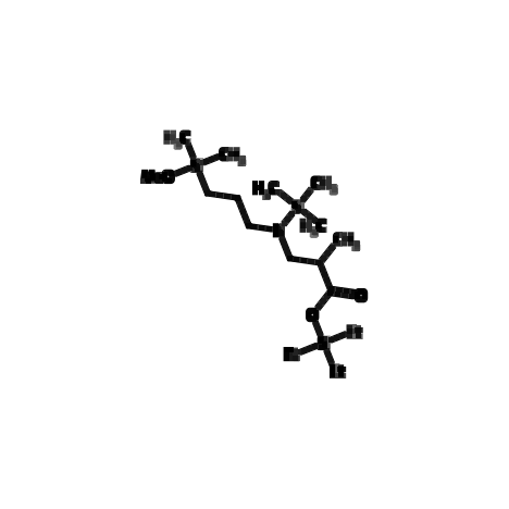 CC[Si](CC)(CC)OC(=O)C(C)CN(CCC[Si](C)(C)OC)[Si](C)(C)C